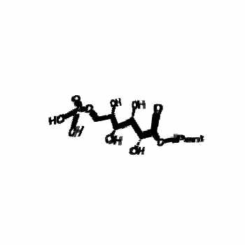 CCCC(C)OC(=O)[C@H](O)[C@@H](O)[C@H](O)[C@H](O)COP(=O)(O)O